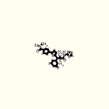 CCN(C)C(=O)c1ccc(-c2ccc(C(c3cc(F)cc(F)c3)C(C)(C)C(=O)Nc3nncs3)s2)cc1